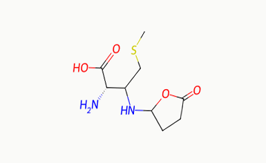 CSCC(NC1CCC(=O)O1)[C@H](N)C(=O)O